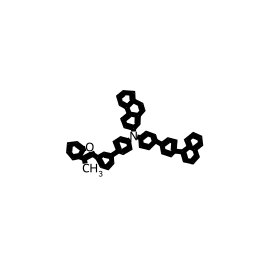 Cc1c(-c2cccc(-c3ccc(N(c4ccc(-c5ccc(-c6cccc7ccccc67)cc5)cc4)c4ccc5c(ccc6ccccc65)c4)cc3)c2)oc2ccccc12